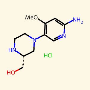 COc1cc(N)ncc1N1CCN[C@@H](CO)C1.Cl